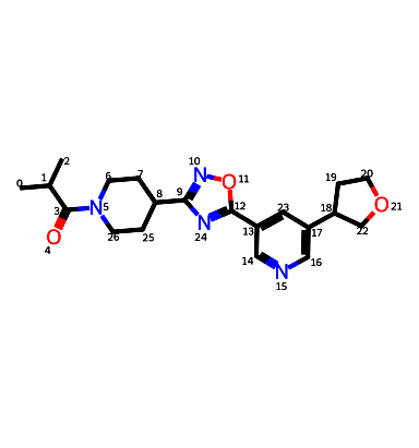 CC(C)C(=O)N1CCC(c2noc(-c3cncc(C4CCOC4)c3)n2)CC1